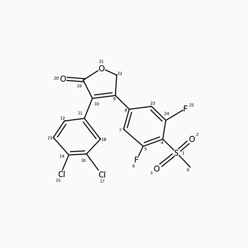 CS(=O)(=O)c1c(F)cc(C2=C(c3ccc(Cl)c(Cl)c3)C(=O)OC2)cc1F